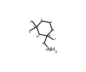 CC1(C)CC[CH]C(C)(CN)C1